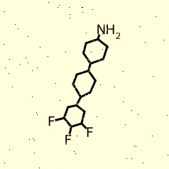 NC1CCC(C2CCC(C3CC(F)C(F)C(F)C3)CC2)CC1